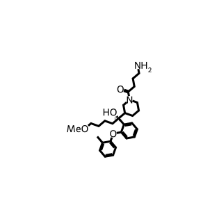 COCCCC[C@@](O)(c1ccccc1Oc1ccccc1C)C1CCCN(C(=O)CCCN)C1